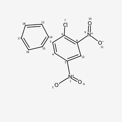 O=[N+]([O-])c1ccc(Cl)c([N+](=O)[O-])c1.c1ccccc1